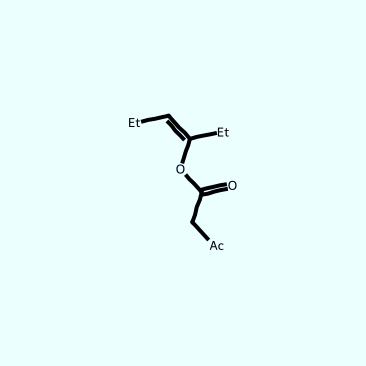 CCC=C(CC)OC(=O)CC(C)=O